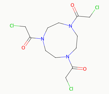 O=C(CCl)N1CCN(C(=O)CCl)CCN(C(=O)CCl)CC1